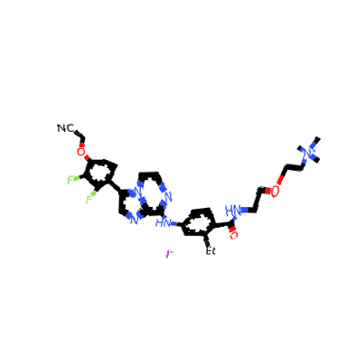 CCc1cc(Nc2nccn3c(-c4ccc(OCC#N)c(F)c4F)cnc23)ccc1C(=O)NCCOCC[N+](C)(C)C.[I-]